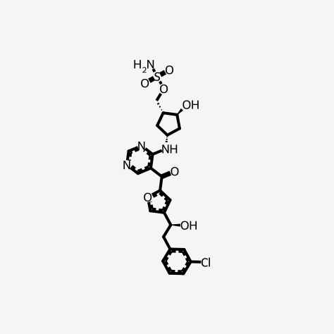 NS(=O)(=O)OC[C@H]1C[C@@H](Nc2ncncc2C(=O)c2cc([C@@H](O)Cc3cccc(Cl)c3)co2)C[C@@H]1O